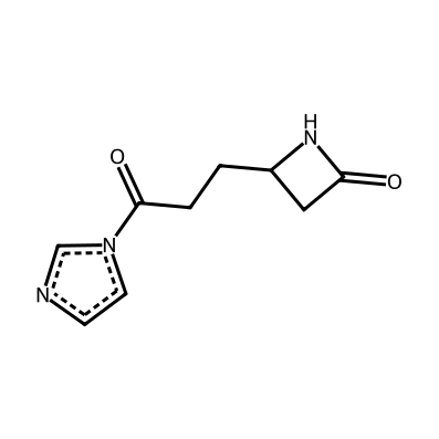 O=C1CC(CCC(=O)n2ccnc2)N1